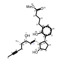 CC#CC[C@H](C)[C@H](O)/C=C/[C@H]1[C@H](O)CC[C@@H]1c1cccc(CCCC(=O)OC)c1O